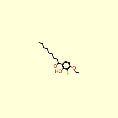 CCCCCCCCC(=O)c1ccc(OCC)c(F)c1O